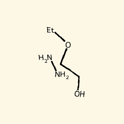 CCOCCO.NN